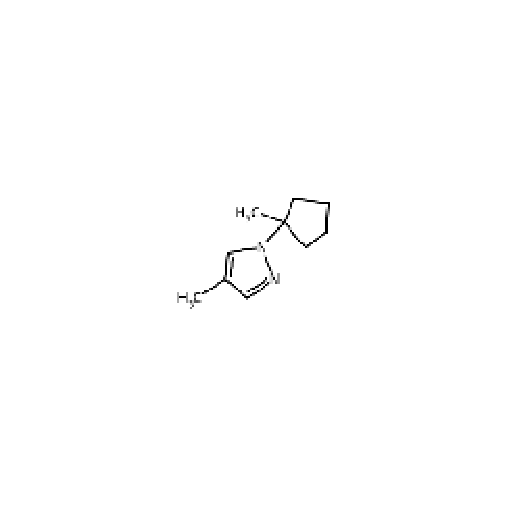 Cc1cnn(C2(C)CCCC2)c1